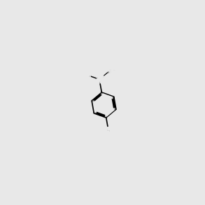 CC(C)[S+]([O-])c1ccc([N+](=O)[O-])cc1